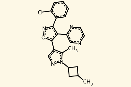 Cc1c(-c2onc(-c3ccccc3Cl)c2-c2cnccn2)cnn1C1CC(C)C1